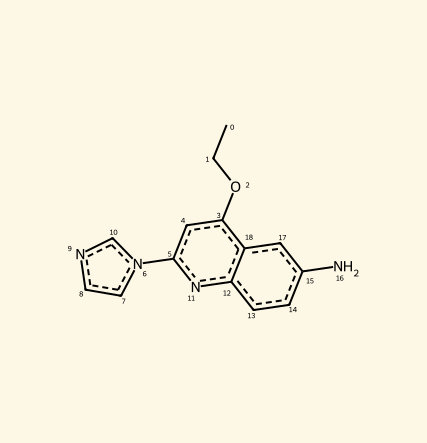 CCOc1cc(-n2ccnc2)nc2ccc(N)cc12